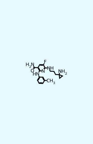 Cc1cccc(Nc2nc(NCCCC3(N)CC3)c(F)cc2C(N)=O)c1